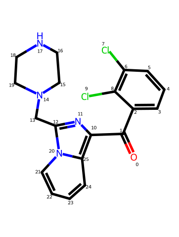 O=C(c1cccc(Cl)c1Cl)c1nc(CN2CCNCC2)n2ccccc12